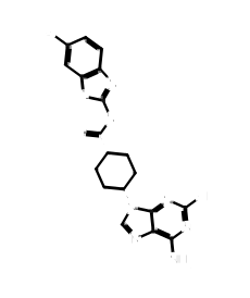 Nc1nc(Cl)nc2c1ncn2[C@H]1CC[C@@H](C(=O)Nc2nc3ccc(Br)cc3s2)CC1